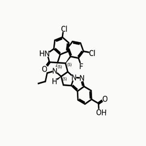 CCCN1[C@H]2Cc3c4ccc(C(=O)O)cc4nn3C2[C@H](c2cccc(Cl)c2F)[C@]12C(=O)Nc1cc(Cl)ccc12